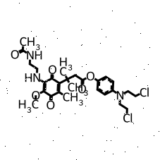 COC1=C(NCCNC(C)=O)C(=O)C(C(C)(C)CC(=O)Oc2ccc(N(CCCl)CCCl)cc2)=C(C)C1=O